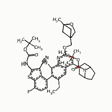 CCc1cc2c(N3CC4CCC(C3)N4C(=O)OC(C)(C)C)nc(OCC34COC(C)(C3)C4)nc2c(F)c1-c1ccc(F)c2sc(NC(=O)OC(C)(C)C)c(C#N)c12